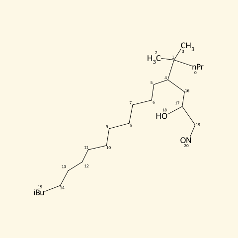 CCCC(C)(C)C(CCCCCCCCCCC(C)CC)CC(O)CN=O